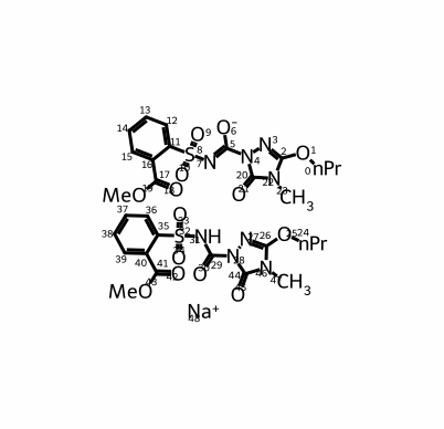 CCCOc1nn(/C([O-])=N/S(=O)(=O)c2ccccc2C(=O)OC)c(=O)n1C.CCCOc1nn(C(=O)NS(=O)(=O)c2ccccc2C(=O)OC)c(=O)n1C.[Na+]